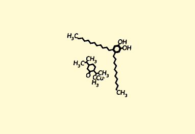 CC(C)C1CCC(C(C)C)C(=O)C1.CCCCCCCCCCCCc1cc(O)c(O)cc1CCCCCCCCCCCC.[Cu]